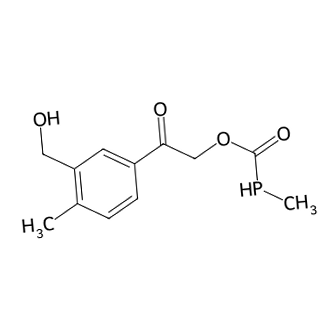 CPC(=O)OCC(=O)c1ccc(C)c(CO)c1